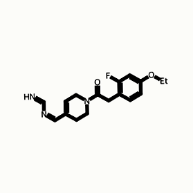 CCOc1ccc(CC(=O)N2CC=C(/C=N\C=N)CC2)c(F)c1